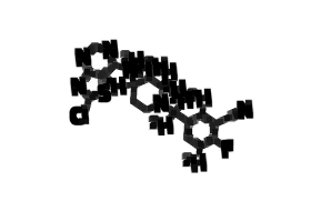 [2H]c1cc(C([2H])([2H])N2CCC([2H])(N([2H])c3ncnc4nc(Cl)sc34)C([2H])([2H])C2([2H])[2H])c([2H])c(C#N)c1F